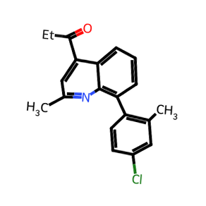 CCC(=O)c1cc(C)nc2c(-c3ccc(Cl)cc3C)cccc12